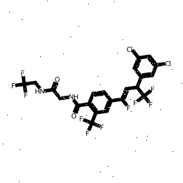 O=C(CNC(=O)c1ccc(/C(F)=C/C(c2cc(Cl)cc(Cl)c2)C(F)(F)F)cc1C(F)(F)F)NCC(F)(F)F